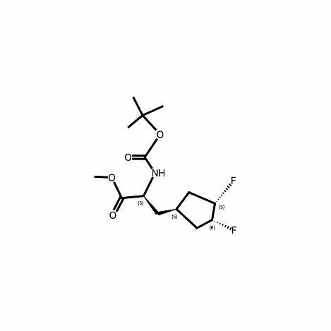 COC(=O)[C@H](C[C@@H]1C[C@@H](F)[C@@H](F)C1)NC(=O)OC(C)(C)C